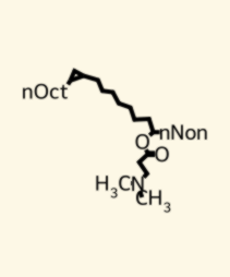 CCCCCCCCCC(CCCCCCCC1CC1CCCCCCCC)OC(=O)CCN(C)C